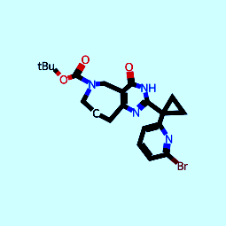 CC(C)(C)OC(=O)N1CCCc2nc(C3(c4cccc(Br)n4)CC3)[nH]c(=O)c2C1